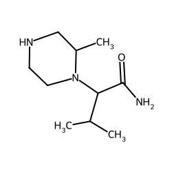 CC(C)C(C(N)=O)N1CCNCC1C